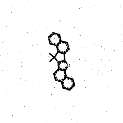 CC1(C)c2c(ccc3ccccc23)-c2oc3c(ccc4ccccc43)c21